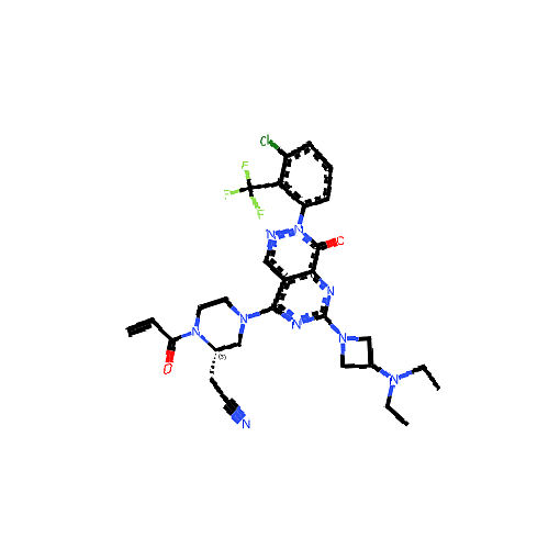 C=CC(=O)N1CCN(c2nc(N3CC(N(CC)CC)C3)nc3c(=O)n(-c4cccc(Cl)c4C(F)(F)F)ncc23)C[C@@H]1CC#N